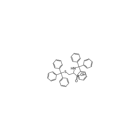 O=C(O)C(CSC(c1ccccc1)(c1ccccc1)c1ccccc1)NC(c1ccccc1)(c1ccccc1)c1ccccc1